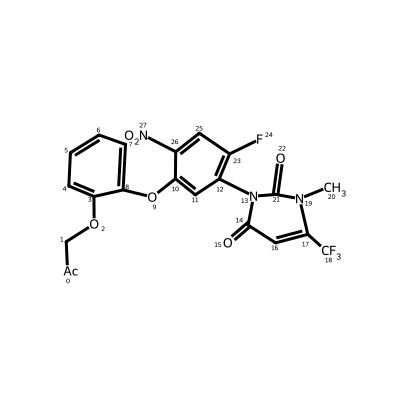 CC(=O)COc1ccccc1Oc1cc(-n2c(=O)cc(C(F)(F)F)n(C)c2=O)c(F)cc1[N+](=O)[O-]